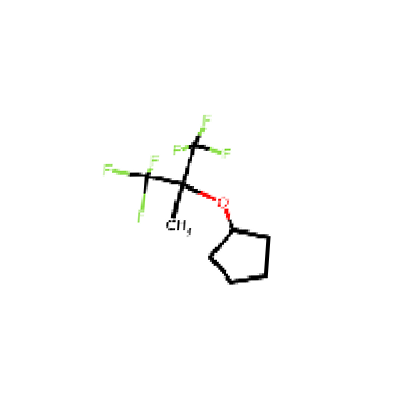 CC(OC1CCCC1)(C(F)(F)F)C(F)(F)F